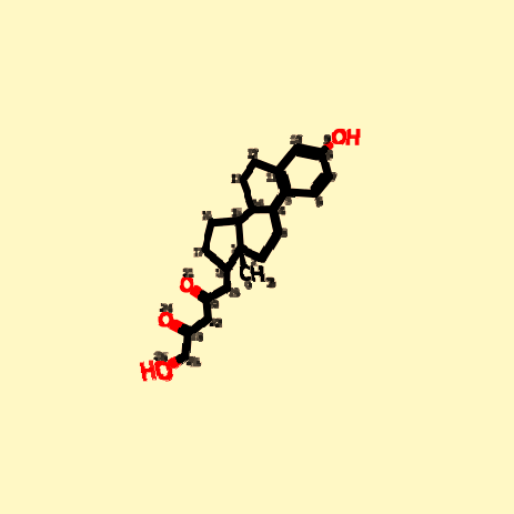 C[C@]12CCC3c4ccc(O)cc4CCC3C1CCC2CC(=O)CC(=O)CO